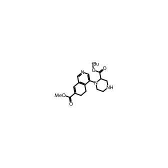 COC(=O)C1=Cc2cncc(N3CCNCC3C(=O)OC(C)(C)C)c2CC1